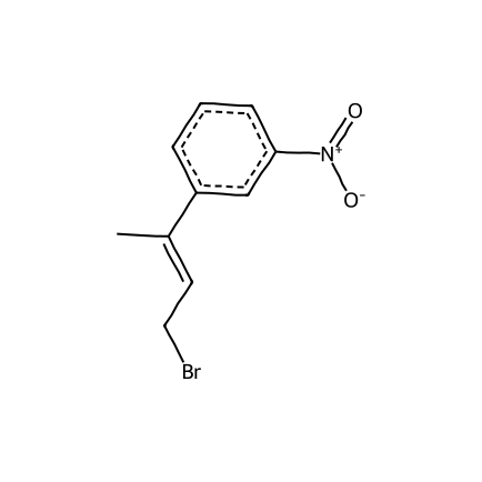 CC(=CCBr)c1cccc([N+](=O)[O-])c1